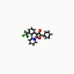 O=C1C(c2cccc(C(F)(F)F)c2)=C(N2C=CCCC2)OC1c1ccccc1